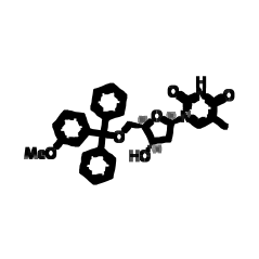 COc1cccc(C(OC[C@H]2O[C@@H](n3cc(C)c(=O)[nH]c3=O)C[C@@H]2O)(c2ccccc2)c2ccccc2)c1